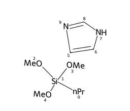 CCC[Si](OC)(OC)OC.c1c[nH]cn1